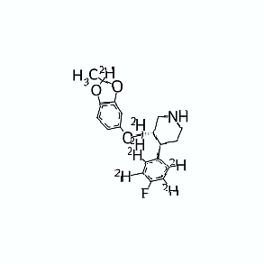 [2H]c1c([2H])c([C@@H]2CCNC[C@H]2C([2H])([2H])Oc2ccc3c(c2)OC([2H])(C)O3)c([2H])c([2H])c1F